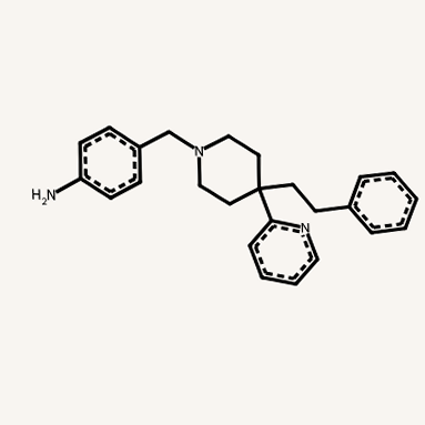 Nc1ccc(CN2CCC(CCc3ccccc3)(c3ccccn3)CC2)cc1